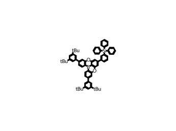 CC(C)(C)c1cc(-c2ccc3c(c2)Oc2cc(-c4cccc([Si](c5ccccc5)(c5ccccc5)c5ccccc5)c4)cc4c2B3c2ccc(-c3cc(C(C)(C)C)cc(C(C)(C)C)c3)cc2O4)cc(C(C)(C)C)c1